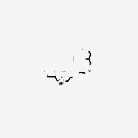 CC[N+](C)(CCOCC[N+](C)(CC)CC(O)CCl)CC(O)CCl